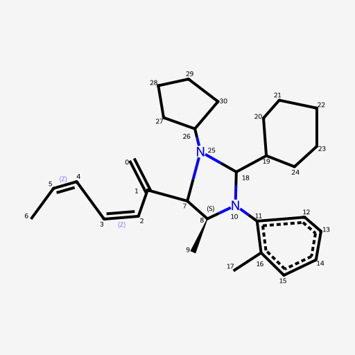 C=C(/C=C\C=C/C)C1[C@H](C)N(c2ccccc2C)C(C2CCCCC2)N1C1CCCC1